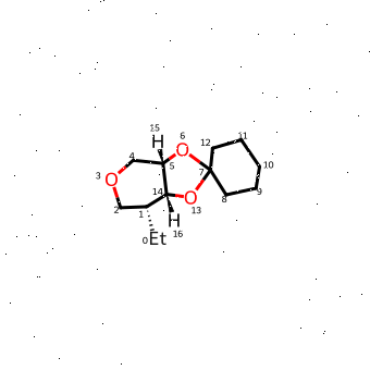 CC[C@@H]1COC[C@@H]2OC3(CCCCC3)O[C@H]12